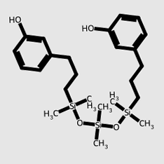 C[Si](C)(CCCc1cccc(O)c1)O[Si](C)(C)O[Si](C)(C)CCCc1cccc(O)c1